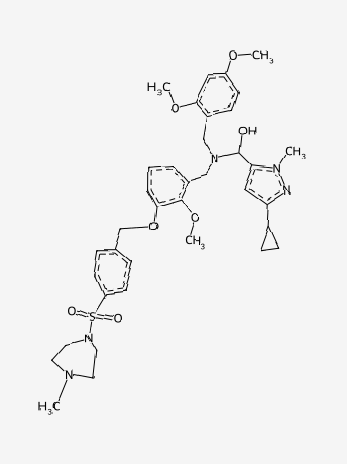 COc1ccc(CN(Cc2cccc(OCc3ccc(S(=O)(=O)N4CCN(C)CC4)cc3)c2OC)C(O)c2cc(C3CC3)nn2C)c(OC)c1